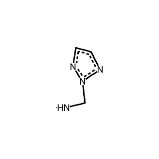 [NH]Cn1nccn1